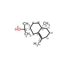 CC1=C2C[C@H](C(C)(C)O)CC[C@@]2(C)CCC1